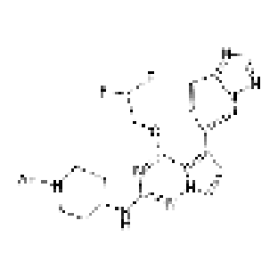 CC(=O)N1CCC(Nc2nc(OCC(F)F)c3c(-c4ccc5ncnn5c4)ccn3n2)CC1